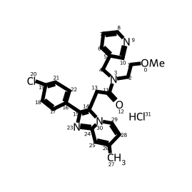 COCCN(Cc1cccnc1)C(=O)Cc1c(-c2ccc(Cl)cc2)nc2cc(C)ccn12.Cl